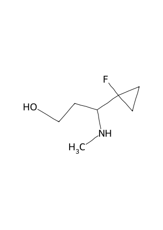 CNC(CCO)C1(F)CC1